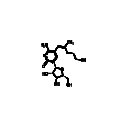 CC(=Cc1cn([C@@H]2O[C@H](CO)[C@@H](O)[C@@H]2O)c(=O)nc1N)CCCO